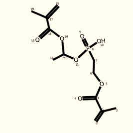 C=C(C)C(=O)OCCP(=O)(O)OC(C)OC(=O)C(=C)C